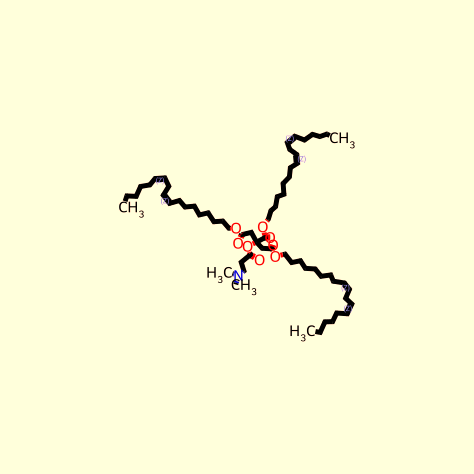 CCCCC/C=C\C/C=C\CCCCCCCCOC(=O)CC(CC(=O)OCCCCCCCC/C=C\C/C=C\CCCCC)(OC(=O)CCN(C)C)C(=O)OCCCCCCCC/C=C\C/C=C\CCCCC